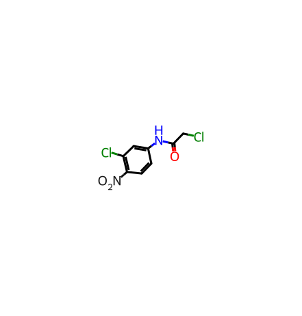 O=C(CCl)Nc1ccc([N+](=O)[O-])c(Cl)c1